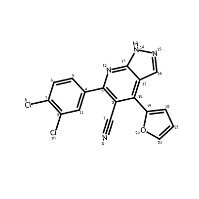 N#Cc1c(-c2ccc(Cl)c(Cl)c2)nc2[nH]ncc2c1-c1ccco1